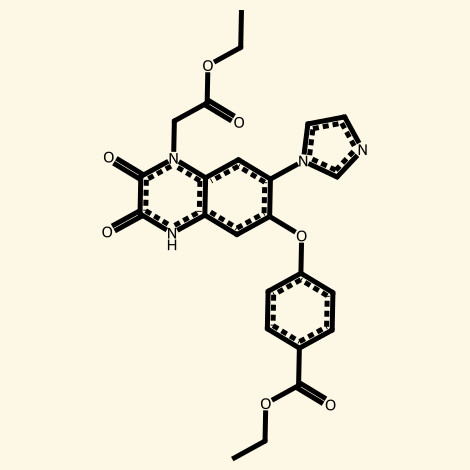 CCOC(=O)Cn1c(=O)c(=O)[nH]c2cc(Oc3ccc(C(=O)OCC)cc3)c(-n3ccnc3)cc21